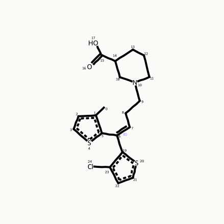 Cc1ccsc1/C(=C\CCN1CCCC(C(=O)O)C1)c1sccc1Cl